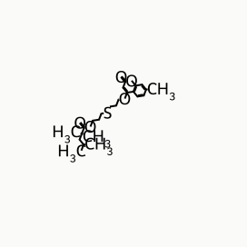 Cc1ccc2c(OCCCSCCCOC(=O)C(C)(C)CC(C)C)cc(=O)oc2c1